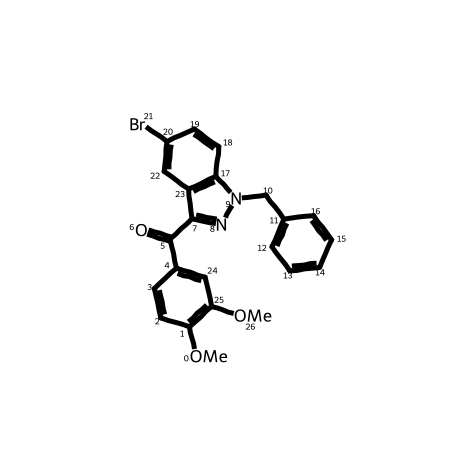 COc1ccc(C(=O)c2nn(Cc3ccccc3)c3ccc(Br)cc23)cc1OC